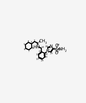 C[C@@H](CC1CCCCC1)NCc1ccccc1-n1cnc(S(N)(=O)=O)c1